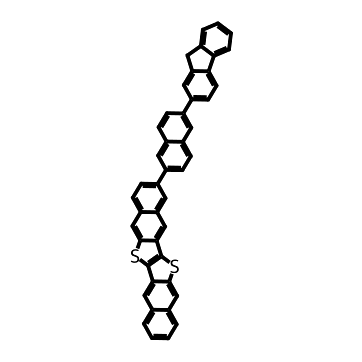 c1ccc2c(c1)Cc1cc(-c3ccc4cc(-c5ccc6cc7sc8c9cc%10ccccc%10cc9sc8c7cc6c5)ccc4c3)ccc1-2